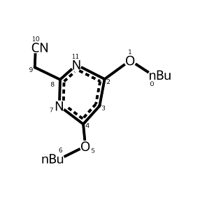 CCCCOc1cc(OCCCC)nc(CC#N)n1